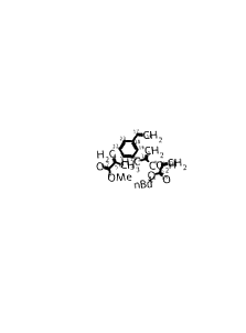 C=C(C)C(=O)O.C=C(C)C(=O)OC.C=CC(=O)OCCCC.C=Cc1ccccc1